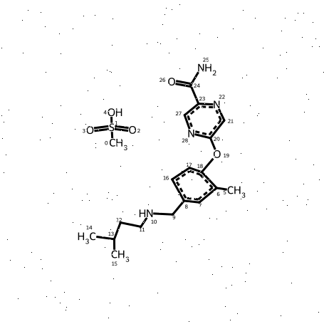 CS(=O)(=O)O.Cc1cc(CNCCC(C)C)ccc1Oc1cnc(C(N)=O)cn1